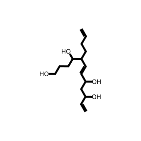 C=CCCC(C=CC(O)CC(O)C=C)C(O)CCCO